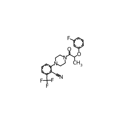 CC(Oc1cccc(F)c1)C(=O)N1CCN(c2cccc(C(F)(F)F)c2C#N)CC1